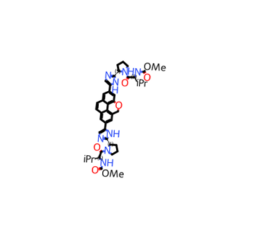 COC(=O)N[C@H](C(=O)N1CCC[C@H]1c1ncc(-c2cc3c4c(ccc5cc(-c6cnc([C@@H]7CCCN7C(=O)[C@@H](NC(=O)OC)C(C)C)[nH]6)cc(c54)OC3)c2)[nH]1)C(C)C